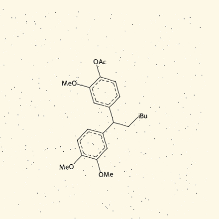 CCC(C)CC(c1ccc(OC)c(OC)c1)c1ccc(OC(C)=O)c(OC)c1